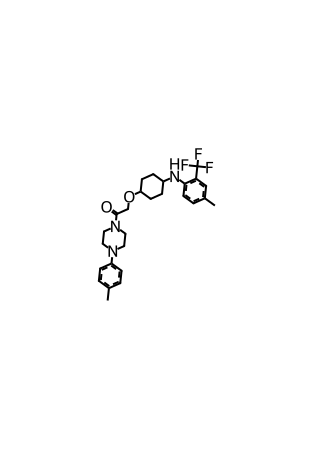 Cc1ccc(N2CCN(C(=O)COC3CCC(Nc4ccc(C)cc4C(F)(F)F)CC3)CC2)cc1